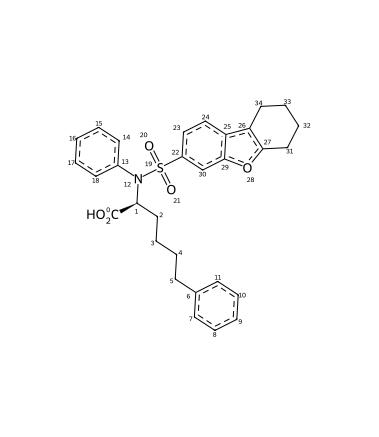 O=C(O)[C@H](CCCCc1ccccc1)N(c1ccccc1)S(=O)(=O)c1ccc2c3c(oc2c1)CCCC3